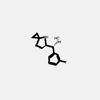 Cl.O[C@H](c1cccc(F)c1)[C@H]1CCC2(CC2)N1